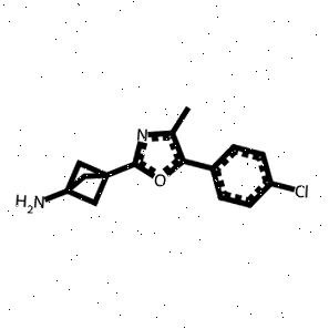 Cc1nc(C23CC(N)(C2)C3)oc1-c1ccc(Cl)cc1